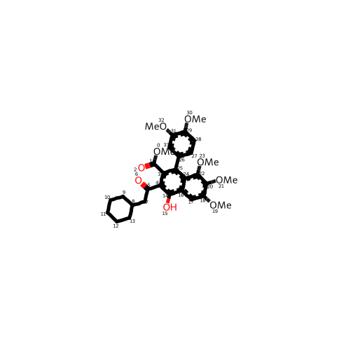 COC(=O)c1c(C(=O)CC2CCCCC2)c(O)c2cc(OC)c(OC)c(OC)c2c1-c1ccc(OC)c(OC)c1